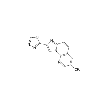 FC(F)(F)c1cnc2c(ccc3nc(-c4nnco4)cn32)c1